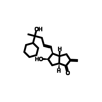 C=C1C[C@H]2[C@H](/C=C/CC(C)(O)C3CCCCC3)[C@H](O)C[C@@H]2C1=O